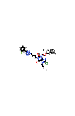 C=CCn1c(Cl)nc2c1c(=O)n(CCCCn1nnc(-c3ccccc3F)n1)c(=O)n2COCC[Si](C)(C)C